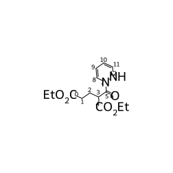 CCOC(=O)CCC(C(=O)OCC)C(=O)N1C=CC=CN1